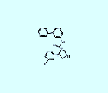 O=C(Nc1cccc(-c2ccccc2)c1)[C@@H]1CNC[C@H]1c1cccc(F)c1